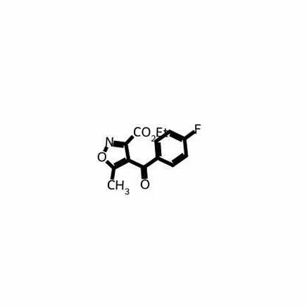 CCOC(=O)c1noc(C)c1C(=O)c1ccc(F)cc1